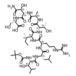 CC[C@H](C)[C@H](NC(=O)[C@@H](CCCNC(=N)N)NC(=O)[C@H](CC(C)C)NC(=O)[C@@H](NC(=O)OC(C)(C)C)[C@H](O)C(C)C)C(=O)N[C@H](C(=O)N[C@H](C)C(=O)N[C@H](C(=O)N[C@@H](CO)C(=O)O)[C@H](O)C(N)=O)[C@H](C)O